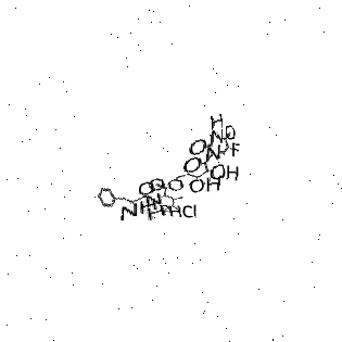 CC[C@H](C)[C@H](NC(=O)[C@@H](N)Cc1ccccc1)C(=O)OC[C@H]1O[C@@H](n2cc(F)c(=O)[nH]c2=O)[C@H](O)[C@@H]1O.Cl